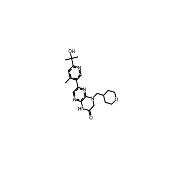 Cc1cc(C(C)(C)O)ncc1-c1cnc2c(n1)N(CC1CCOCC1)CC(=O)N2